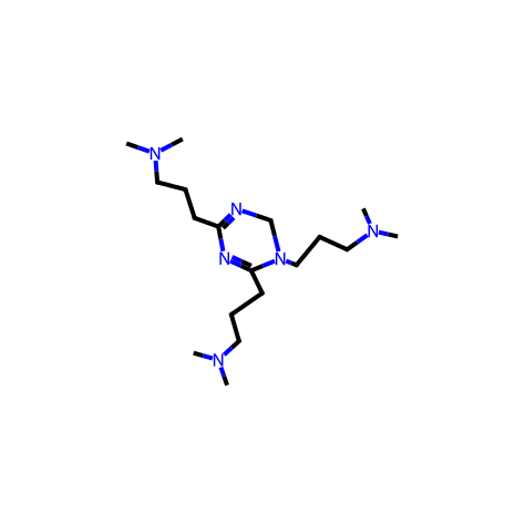 CN(C)CCCC1=NCN(CCCN(C)C)C(CCCN(C)C)=N1